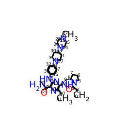 C=CC(=O)N1CCC[C@@H]1CNc1nc(Nc2ccc(N3CCC(N4CCN(C)CC4)CC3)cc2)c(C(N)=O)nc1CC